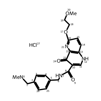 CNCc1ccc(CNC(=O)c2c[nH]c3ccc(OCCOC)nc3c2=O)cc1.Cl